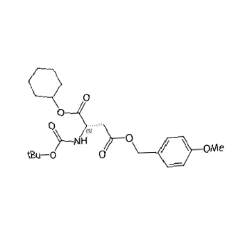 COc1ccc(COC(=O)C[C@H](NC(=O)OC(C)(C)C)C(=O)OC2CCCCC2)cc1